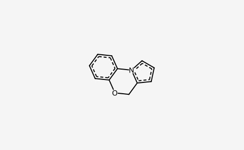 c1ccc2c(c1)OCc1cccn1-2